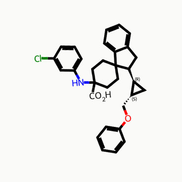 O=C(O)C1(Nc2cccc(Cl)c2)CCC2(CC1)c1ccccc1CC2[C@H]1C[C@@H]1COc1ccccc1